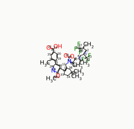 C=C(/C=C(\C=C(/C)[C@H]1OC(=O)N(CC2=C(c3cc(-c4ccc(C(=O)O)cc4C)cnc3OC)CCC(C)(C)C2)[C@H]1C)C(F)(F)F)C(F)(F)F